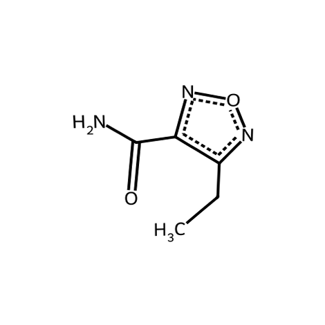 CCc1nonc1C(N)=O